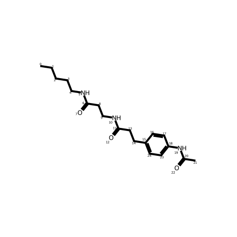 CCCCCNC(=O)CCNC(=O)CCc1ccc(NC(C)=O)cc1